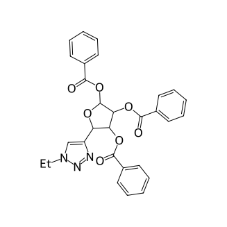 CCn1cc(C2OC(OC(=O)c3ccccc3)C(OC(=O)c3ccccc3)C2OC(=O)c2ccccc2)nn1